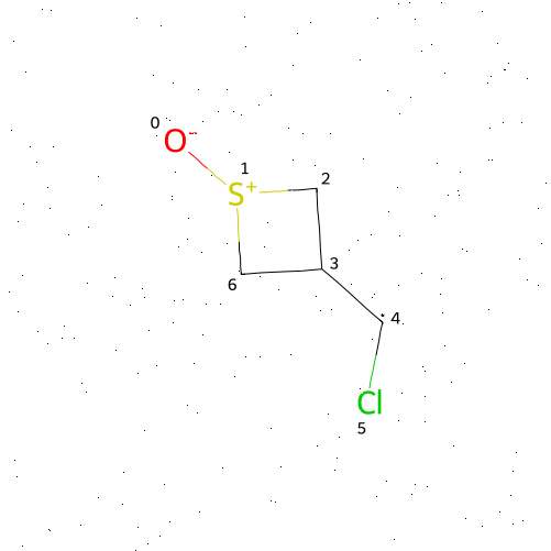 [O-][S+]1CC([CH]Cl)C1